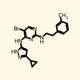 Cc1cccc(CCNc2ncc(Br)c(Nc3cc(C4CC4)n[nH]3)n2)c1